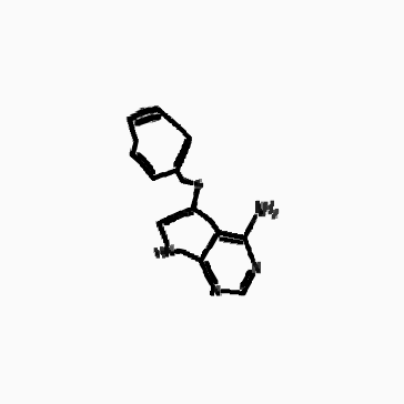 Nc1ncnc2[nH]cc(Sc3ccccc3)c12